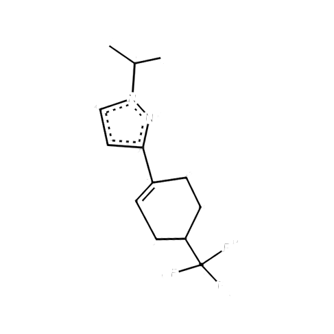 CC(C)n1ccc(C2=CCC(C(F)(F)F)CC2)n1